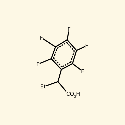 CCC(C(=O)O)c1c(F)c(F)c(F)c(F)c1F